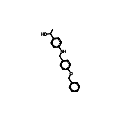 CC(O)c1ccc(NCc2ccc(OCc3ccccc3)cc2)cc1